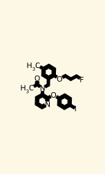 CC(=O)N(Cc1cc(C)ccc1OCCCF)c1cccnc1Oc1ccc(I)cc1